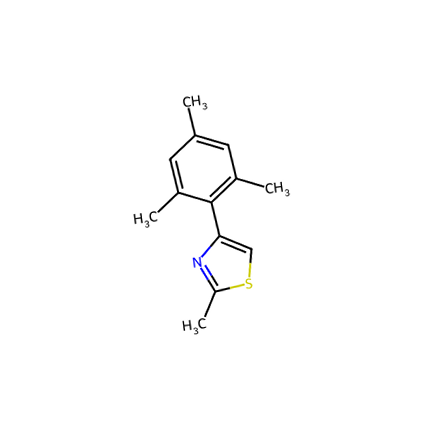 Cc1cc(C)c(-c2csc(C)n2)c(C)c1